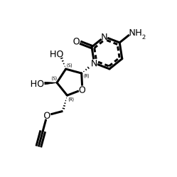 C#COC[C@H]1O[C@@H](n2ccc(N)nc2=O)[C@@H](O)[C@@H]1O